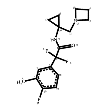 Cc1cc(C(F)(F)C(=O)NC2(CN3CCC3)CC2)ccc1F